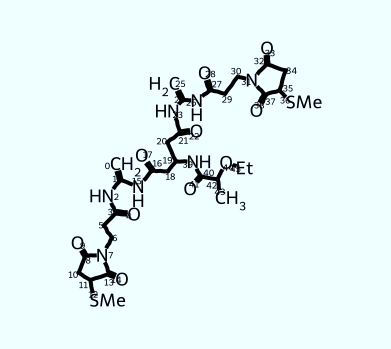 C=C(NC(=O)CCN1C(=O)CC(SC)C1=O)NC(=O)CC(CC(=O)NC(=C)NC(=O)CCN1C(=O)CC(SC)C1=O)NC(=O)C(C)OCC